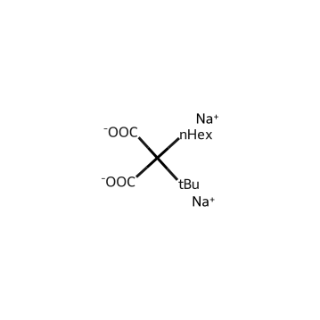 CCCCCCC(C(=O)[O-])(C(=O)[O-])C(C)(C)C.[Na+].[Na+]